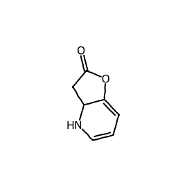 O=C1CC2NC=CC=C2O1